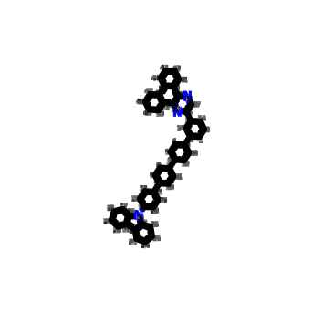 c1cc(-c2ccc(-c3ccc(-c4ccc(-n5c6ccccc6c6ccccc65)cc4)cc3)cc2)cc(-c2cnc3c4ccccc4c4ccccc4c3n2)c1